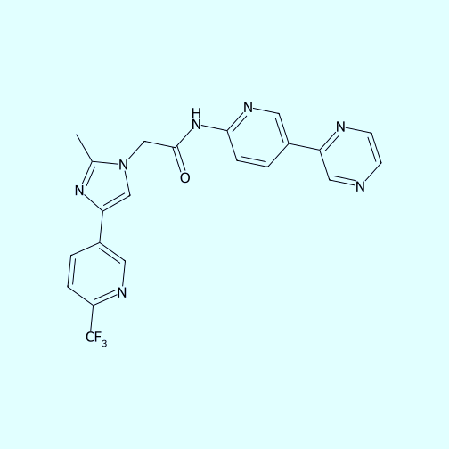 Cc1nc(-c2ccc(C(F)(F)F)nc2)cn1CC(=O)Nc1ccc(-c2cnccn2)cn1